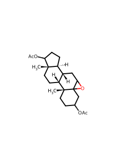 CC(=O)OC1CC[C@]2(C)[C@@H]3CC[C@]4(C)C(OC(C)=O)CC[C@H]4[C@@H]3CC3OC32C1